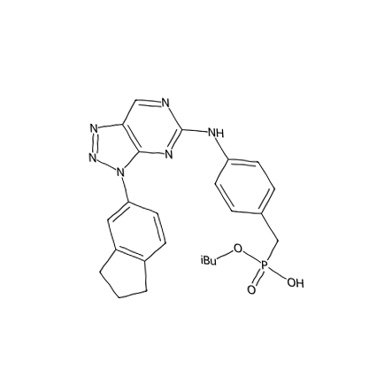 CCC(C)OP(=O)(O)Cc1ccc(Nc2ncc3nnn(-c4ccc5c(c4)CCC5)c3n2)cc1